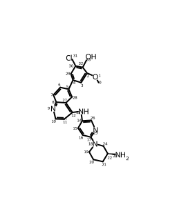 COc1cc(-c2ccc3nc[c]c(Nc4ccc(N5CCC[C@H](N)C5)nc4)c3c2)cc(Cl)c1O